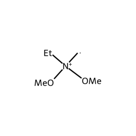 [CH2][N+](CC)(OC)OC